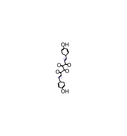 O=C(/C=C/C1C=CC(O)=CC1)C(=O)C(=O)C(=O)/C=C/C1C=CC(O)=CC1